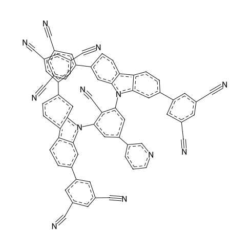 N#Cc1cc(C#N)cc(-c2ccc3c4ccc(-c5cc(C#N)cc(C#N)c5)cc4n(-c4cc(-c5cccnc5)cc(-n5c6cc(-c7cc(C#N)cc(C#N)c7)ccc6c6ccc(-c7cc(C#N)cc(C#N)c7)cc65)c4C#N)c3c2)c1